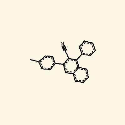 Cc1ccc(-c2cc3ccccc3c(-c3ccccc3)c2C#N)cc1